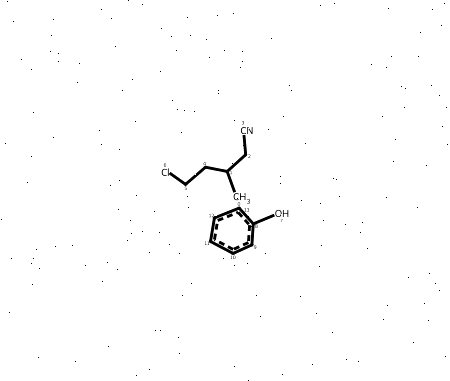 CC(CC#N)CCCl.Oc1ccccc1